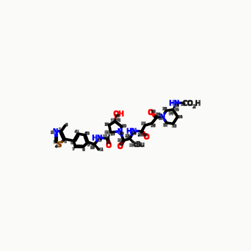 Cc1ncsc1-c1ccc([C@H](C)NC(=O)[C@@H]2C[C@@H](O)CN2C(=O)[C@@H](NC(=O)CCC(=O)N2CCC[C@@H](NC(=O)O)C2)C(C)(C)C)cc1